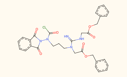 N=C(NCC(=O)OCc1ccccc1)N(CCCN(C(=O)Cl)N1C(=O)c2ccccc2C1=O)CC(=O)OCc1ccccc1